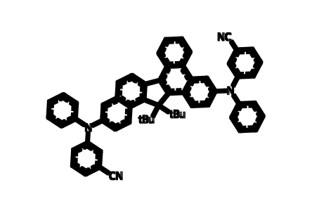 CC(C)(C)C1(C(C)(C)C)c2c(ccc3cc(N(c4ccccc4)c4cccc(C#N)c4)ccc23)-c2c1c1ccc(N(c3ccccc3)c3cccc(C#N)c3)cc1c1ccccc21